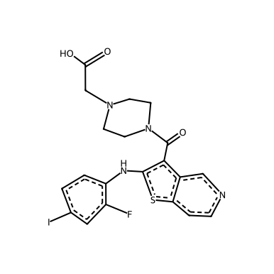 O=C(O)CN1CCN(C(=O)c2c(Nc3ccc(I)cc3F)sc3ccncc23)CC1